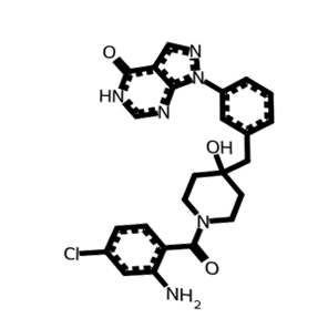 Nc1cc(Cl)ccc1C(=O)N1CCC(O)(Cc2cccc(-n3ncc4c(=O)[nH]cnc43)c2)CC1